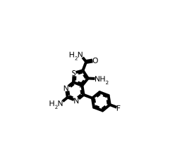 NC(=O)c1sc2nc(N)nc(-c3ccc(F)cc3)c2c1N